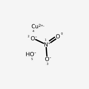 O=[N+]([O-])[O-].[Cu+2].[OH-]